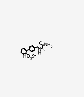 CS(=O)(=O)O.C[C@H](NCc1ccc(-c2ccccc2Cl)cc1)C(N)=O